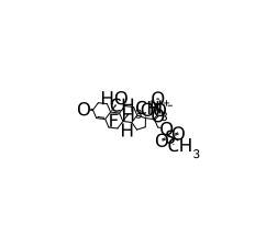 C[C@]12CCC(=O)C=C1CC[C@H]1[C@@H]3CC[C@](O[N+](=O)[O-])(C(=O)COS(C)(=O)=O)[C@@]3(C)C[C@H](O)[C@@]12F